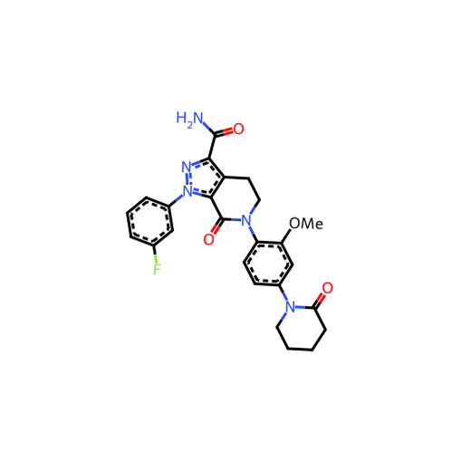 COc1cc(N2CCCCC2=O)ccc1N1CCc2c(C(N)=O)nn(-c3cccc(F)c3)c2C1=O